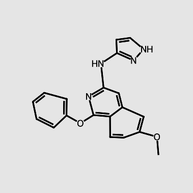 COc1ccc2c(Oc3ccccc3)nc(Nc3cc[nH]n3)cc2c1